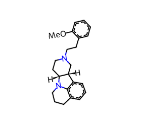 COc1ccccc1CCN1CC[C@@H]2[C@H](C1)c1cccc3c1N2CCC3